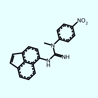 CN(C(=N)Nc1ccc2c3c(cccc13)C=C2)c1ccc([N+](=O)[O-])cc1